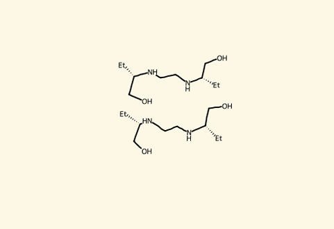 CC[C@@H](CO)NCCN[C@@H](CC)CO.CC[C@@H](CO)NCCN[C@@H](CC)CO